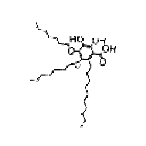 CCCCCCCCCCc1c(OCCCCCCC)c(OCCCCCCC)c(O)c(O)c1C(=O)O